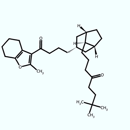 Cc1oc2c(c1C(=O)CCC[C@H]1C[C@H]3CC[C@@H](C1)[C@@H]3CCCC(=O)CCC(C)(C)C)CCCC2